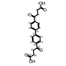 O=C(O)CCC(=O)c1ccc(-c2ccc(C(=O)CCC(=O)O)cc2)cc1